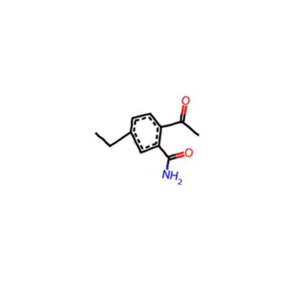 CCc1ccc(C(C)=O)c(C(N)=O)c1